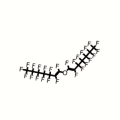 FC(OC(F)=C(F)C(F)(F)C(F)(F)C(F)(F)C(F)(F)C(F)(F)F)=C(F)C(F)(F)C(F)(F)C(F)(F)C(F)(F)C(F)(F)F